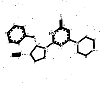 C#C[C@H]1CCN(c2nc(N3CCOCC3)cc(=O)[nH]2)[C@H]1Cc1ccccc1